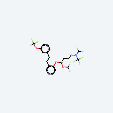 FC(F)O[C@H](CCCN(C(F)F)C(F)(F)F)Oc1ccccc1CCc1cccc(OC(F)(F)F)c1